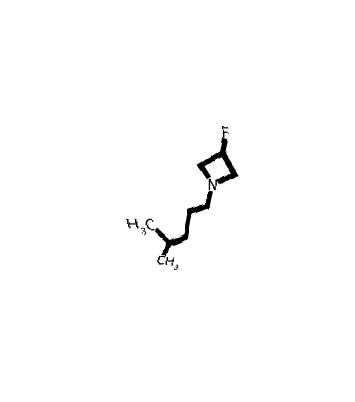 CC(C)CCCN1CC(F)C1